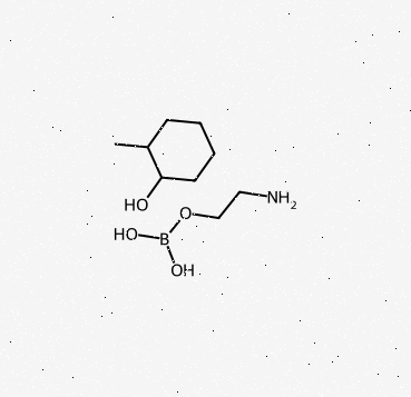 CC1CCCCC1O.NCCOB(O)O